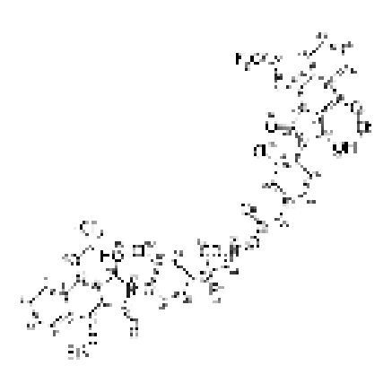 CCOc1c2c(c(OCC(F)(F)F)c3ccccc13)C(O)N(c1ccc(C(CC)(CCOC(=O)Cc3ccc(N4C(=O)c5c(c(OCC)c6ccccc6c5OCC(F)(F)F)C4O)c(Cl)c3)C(=O)O)cc1Cl)C2=O